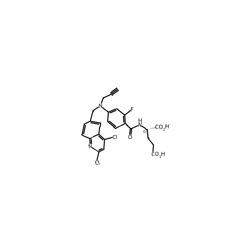 C#CCN(Cc1ccc2nc(Cl)cc(Cl)c2c1)c1ccc(C(=O)N[C@@H](CCC(=O)O)C(=O)O)c(F)c1